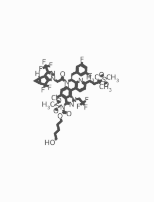 CC(C)(CCc1ccc(-c2ccc(Cl)c3c(N(C(=O)OCCCCCO)S(C)(=O)=O)nn(CC(F)(F)F)c23)c([C@H](Cc2cc(F)cc(F)c2)NC(=O)Cn2nc(C(F)(F)F)c3c2C(F)(F)C2C[C@H]32)n1)S(C)(=O)=O